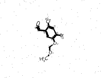 COCOc1cc(C=O)c(Cl)cc1Br